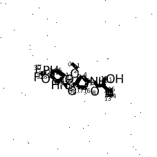 CCOc1cc(NC(=O)C(CO)C2CCC2)ccc1S(=O)(=O)Nc1cccc(OC(F)(F)P)c1